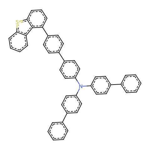 c1ccc(-c2ccc(N(c3ccc(-c4ccccc4)cc3)c3ccc(-c4ccc(-c5cccc6sc7ccccc7c56)cc4)cc3)cc2)cc1